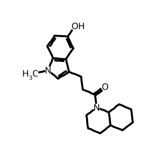 Cn1cc(CCC(=O)N2CCCC3CCCCC32)c2cc(O)ccc21